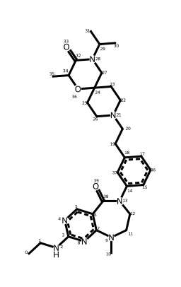 CCNc1ncc2c(n1)N(C)CCN(c1cccc(CCN3CCC4(CC3)CN(C(C)C)C(=O)C(C)O4)c1)C2=O